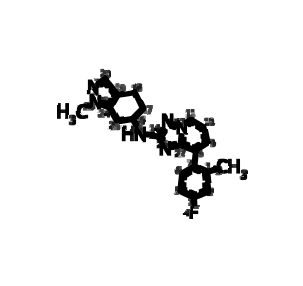 Cc1cc(F)ccc1-c1cccn2nc(NC3CCc4cnn(C)c4C3)nc12